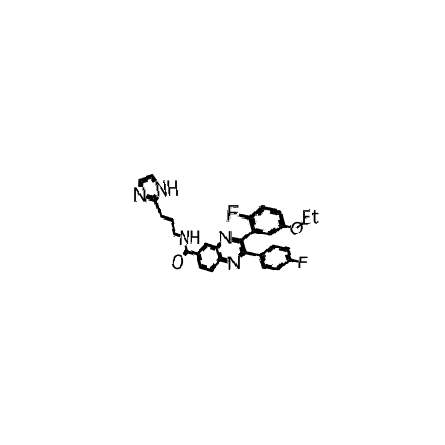 CCOc1ccc(F)c(-c2nc3cc(C(=O)NCCCc4ncc[nH]4)ccc3nc2-c2ccc(F)cc2)c1